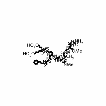 CNC(=O)C[C@H](NC(=O)c1csc(-c2ccc(-c3nc(N(CCCC(=O)O)C(=O)CCCCC(=O)O)cs3)nc2-c2csc(-c3csc(CCc4ccccc4)n3)n2)n1)c1nc(C(=O)NCc2nc(C(=O)NCC(N)=O)c(COC)s2)c(C)s1